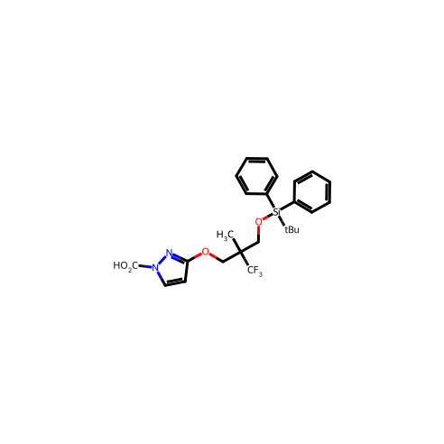 CC(COc1ccn(C(=O)O)n1)(CO[Si](c1ccccc1)(c1ccccc1)C(C)(C)C)C(F)(F)F